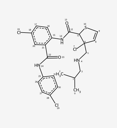 CC(C)CNCC1(Cl)C=CSC1C(=O)Nc1ccc(Cl)cc1C(=O)Nc1ccc(Cl)cc1